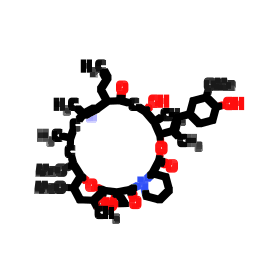 C=CCC1/C=C(\C)CC(C)CC(OC)C2OC(O)(C(C)CC2OC)C2(CO2)C(=O)N2CCCCC2C(=O)OC(C(C)=CC2CCC(O)C(OC)C2)C(C)C(O)CC1=O